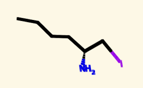 CCCC[C@@H](N)CI